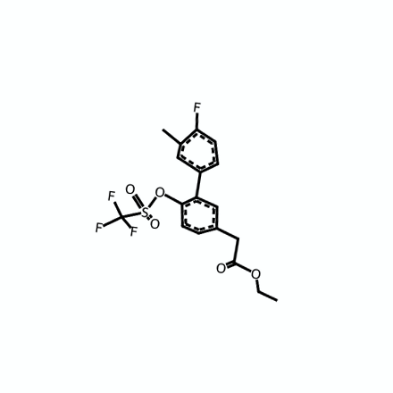 CCOC(=O)Cc1ccc(OS(=O)(=O)C(F)(F)F)c(-c2ccc(F)c(C)c2)c1